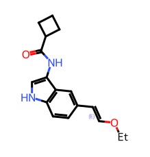 CCO/C=C/c1ccc2[nH]cc(NC(=O)C3CCC3)c2c1